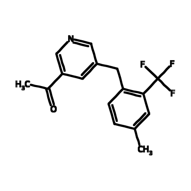 CC(=O)c1cncc(Cc2ccc(C)cc2C(F)(F)F)c1